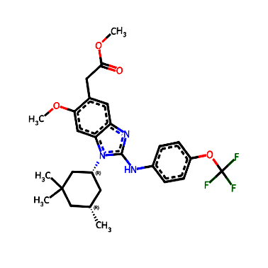 COC(=O)Cc1cc2nc(Nc3ccc(OC(F)(F)F)cc3)n([C@@H]3C[C@H](C)CC(C)(C)C3)c2cc1OC